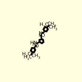 CC(C)(C)c1ccc(C2=NNC(c3cccc(-c4nnc(-c5ccc(C(C)(C)C)cc5)o4)c3)O2)cc1